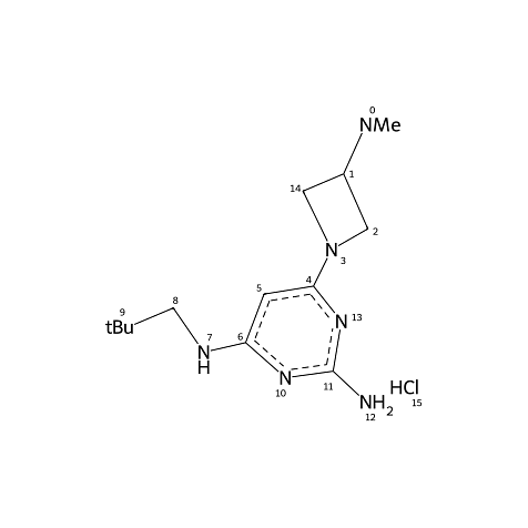 CNC1CN(c2cc(NCC(C)(C)C)nc(N)n2)C1.Cl